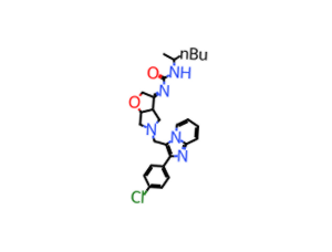 CCCCC(C)NC(=O)/N=C1\COC2CN(Cc3c(-c4ccc(Cl)cc4)nc4ccccn34)CC12